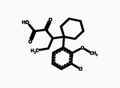 CCC(C(=O)C(=O)O)C1(c2cccc(Cl)c2OC)CCCCC1